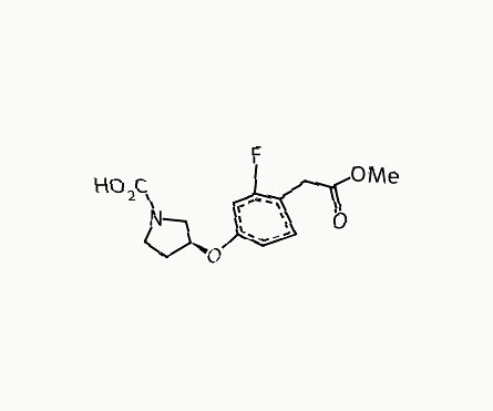 COC(=O)Cc1ccc(O[C@H]2CCN(C(=O)O)C2)cc1F